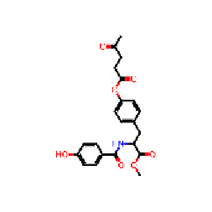 COC(=O)C(Cc1ccc(OC(=O)CCC(C)=O)cc1)NC(=O)c1ccc(O)cc1